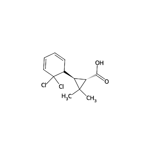 CC1(C)[C@@H](C(=O)O)[C@@H]1C1C=CC=CC1(Cl)Cl